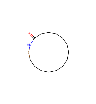 O=C1CCCCCCCCCCCCCSN1